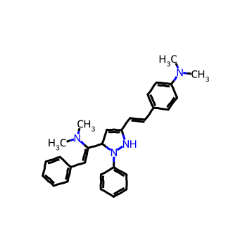 CN(C)C(=Cc1ccccc1)C1C=C(C=Cc2ccc(N(C)C)cc2)NN1c1ccccc1